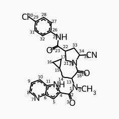 CN(C(=O)c1cc2ncccc2[nH]1)C(CC1CC1)C(=O)N1CC(C(=O)Nc2ccc(Cl)cc2)CC1C#N